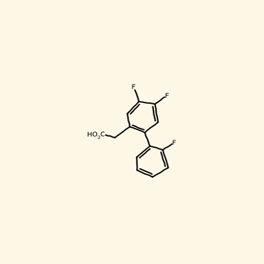 O=C(O)Cc1cc(F)c(F)cc1-c1ccccc1F